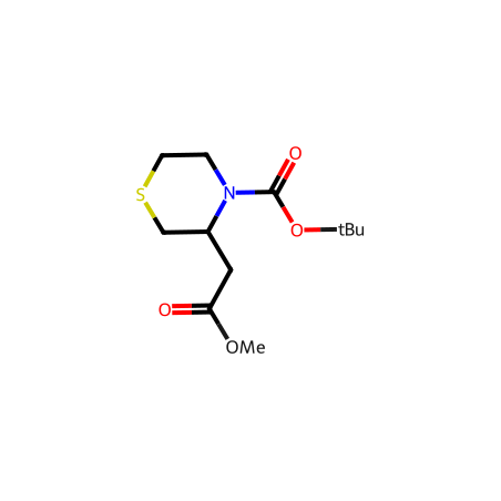 COC(=O)CC1CSCCN1C(=O)OC(C)(C)C